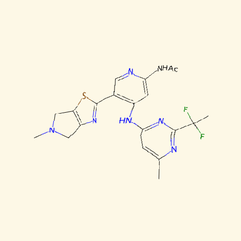 CC(=O)Nc1cc(Nc2cc(C)nc(C(C)(F)F)n2)c(-c2nc3c(s2)CN(C)C3)cn1